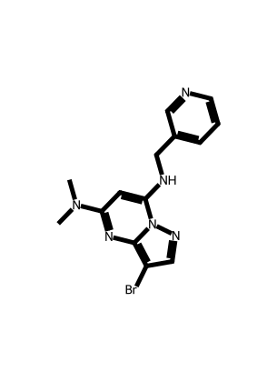 CN(C)c1cc(NCc2cccnc2)n2ncc(Br)c2n1